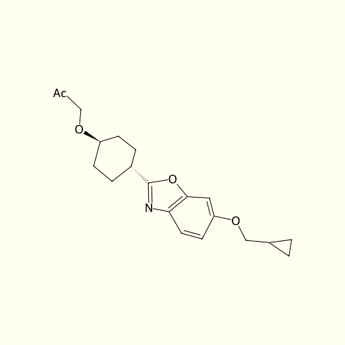 CC(=O)CO[C@H]1CC[C@H](c2nc3ccc(OCC4CC4)cc3o2)CC1